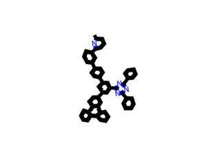 Cc1cccc(-c2cccc(-c3ccc(-c4cc(-c5ccc6c7ccccc7c7ccccc7c6c5)cc(-c5nc(-c6ccccc6)nc(-c6ccccc6)n5)c4)cc3)c2)n1